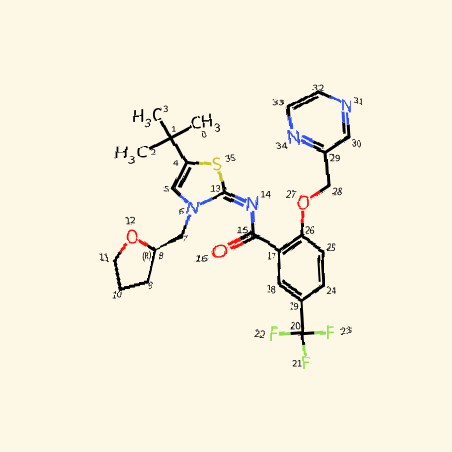 CC(C)(C)c1cn(C[C@H]2CCCO2)c(=NC(=O)c2cc(C(F)(F)F)ccc2OCc2cnccn2)s1